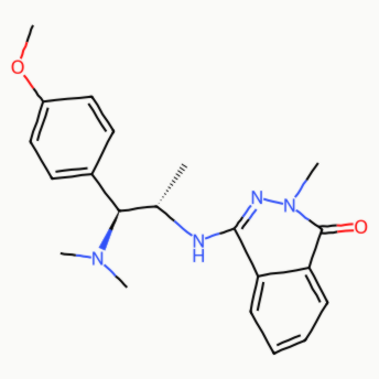 COc1ccc([C@@H]([C@H](C)Nc2nn(C)c(=O)c3ccccc23)N(C)C)cc1